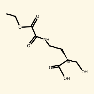 CCOC(=O)C(=O)NCC[C@@H](CO)C(=O)O